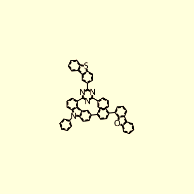 c1ccc(-c2nc(-c3ccc4sc5ccccc5c4c3)nc(-c3cccc4c3c3cc(-c5ccc(-c6cccc7c6oc6ccccc67)cc5)ccc3n4-c3ccccc3)n2)cc1